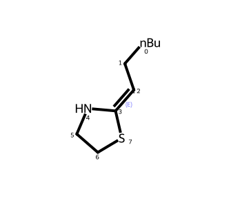 CCCCC/[C]=C1\NCCS1